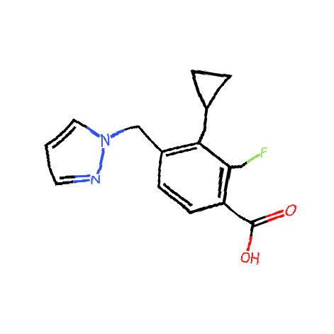 O=C(O)c1ccc(Cn2cccn2)c(C2CC2)c1F